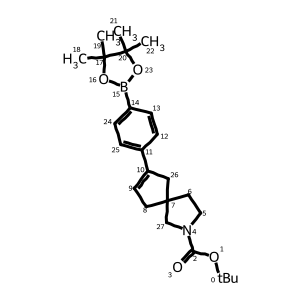 CC(C)(C)OC(=O)N1CCC2(CC=C(c3ccc(B4OC(C)(C)C(C)(C)O4)cc3)C2)C1